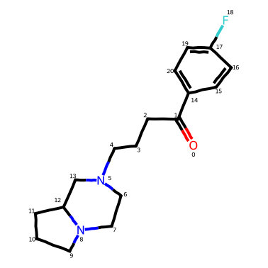 O=C(CCCN1CCN2CCCC2C1)c1ccc(F)cc1